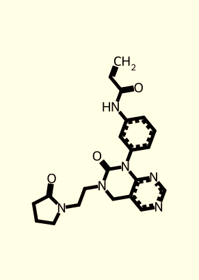 C=CC(=O)Nc1cccc(N2C(=O)N(CCN3CCCC3=O)Cc3cncnc32)c1